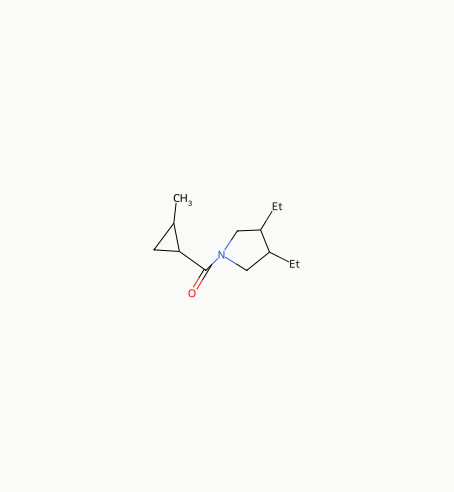 CCC1CN(C(=O)C2CC2C)CC1CC